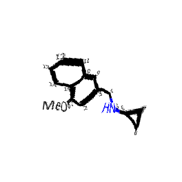 COc1cc(CNC2CC2)cc2c#cccc12